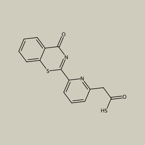 O=C(S)Cc1cccc(-c2nc(=O)c3ccccc3s2)n1